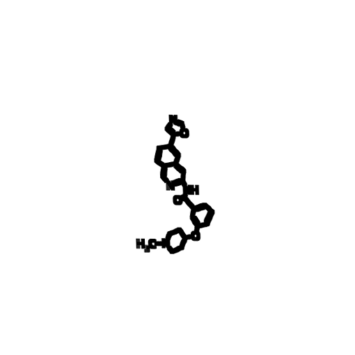 CN1CCC(Oc2cccc(C(=O)Nc3cc4cc(-c5cnco5)ccc4cn3)c2)CC1